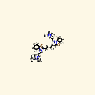 CC[N+](CC)(CC)CCCN1\C(=C/C=C(C)/C=C/c2sc3ccccc3[n+]2CCC[N+](CC)(CC)CC)Sc2ccccc21